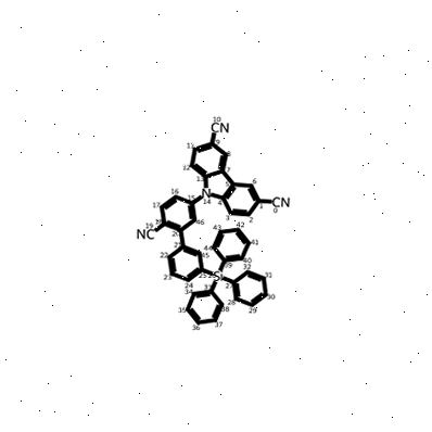 N#Cc1ccc2c(c1)c1cc(C#N)ccc1n2-c1ccc(C#N)c(-c2cccc([Si](c3ccccc3)(c3ccccc3)c3ccccc3)c2)c1